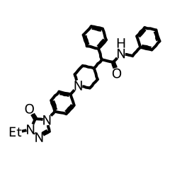 CCn1ncn(-c2ccc(N3CCC(C(C(=O)NCc4ccccc4)c4ccccc4)CC3)cc2)c1=O